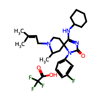 CC(C)=CCN1CCC2(CC1C)C(NC1CCCCC1)=NC(=O)N2c1cccc(F)c1.O=C(O)C(F)(F)F